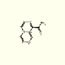 NC(=O)C1=NC=CN2C=COC=C12